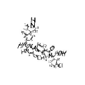 CC1=CNC(Nc2ccc(C3CCNCC3)c(F)c2)N=C1n1ccc(C(=O)NC(CO)c2cccc(Cl)c2)c1